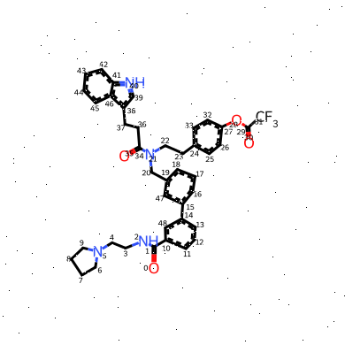 O=C(NCCN1CCCC1)c1cccc(-c2cccc(CN(CCc3ccc(OC(=O)C(F)(F)F)cc3)C(=O)CCc3c[nH]c4ccccc34)c2)c1